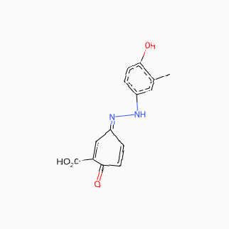 Cc1cc(N/N=C2\C=CC(=O)C(C(=O)O)=C2)ccc1O